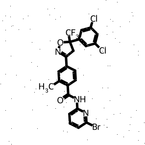 Cc1cc(C2=NOC(c3cc(Cl)cc(Cl)c3)(C(F)(F)F)C2)ccc1C(=O)Nc1cccc(Br)n1